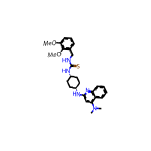 COc1cccc(CNC(=S)N[C@H]2CC[C@@H](Nc3cc(N(C)C)c4ccccc4n3)CC2)c1OC